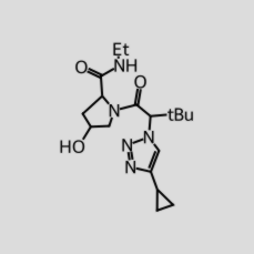 CCNC(=O)C1CC(O)CN1C(=O)C(n1cc(C2CC2)nn1)C(C)(C)C